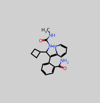 CNC(=O)N1C(C2CCC2)C(c2ccccc2C(N)=O)=C2C=CC=CN21